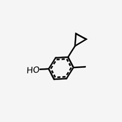 Cc1ccc(O)cc1C1CC1